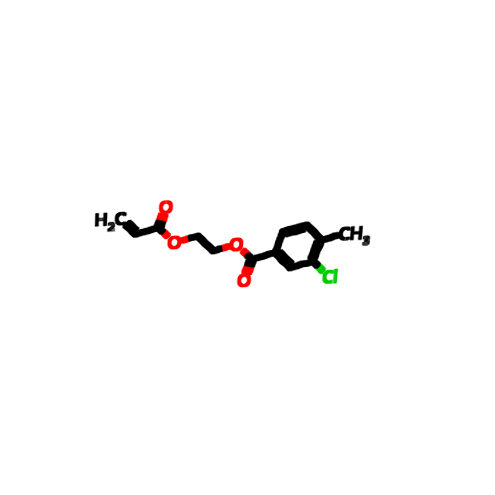 C=CC(=O)OCCOC(=O)c1ccc(C)c(Cl)c1